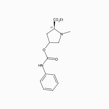 CCOC(=O)[C@@H]1CC(OC(=O)Nc2ccccc2)CN1C